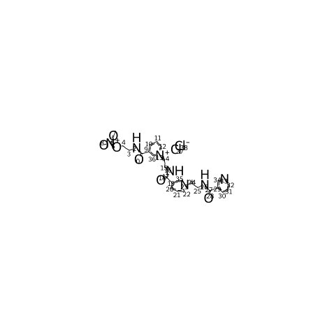 O=C(NCCO[N+](=O)[O-])c1ccc[n+](CCNC(=O)c2ccc[n+](CCNC(=O)c3cccnc3)c2)c1.[Cl-].[Cl-]